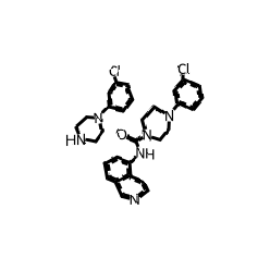 Clc1cccc(N2CCNCC2)c1.O=C(Nc1cccc2cnccc12)N1CCN(c2cccc(Cl)c2)CC1